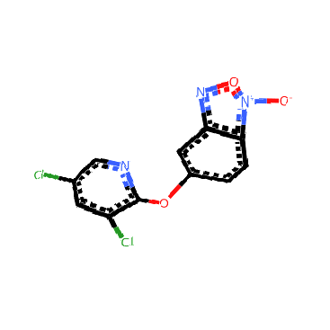 [O-][n+]1onc2cc(Oc3ncc(Cl)cc3Cl)ccc21